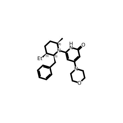 CC[C@H]1CC[C@@H](C)N(c2cc(N3CCOCC3)cc(=O)[nH]2)[C@H]1Cc1ccccc1